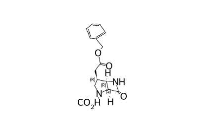 O=C(C[C@@H]1CN(C(=O)O)[C@@H]2C(=O)N[C@H]12)OCc1ccccc1